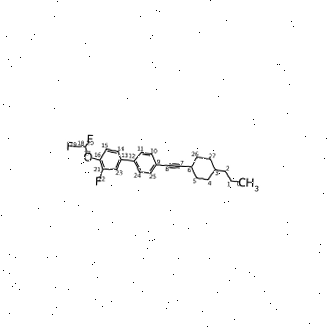 CCCC1CCC(C#Cc2ccc(-c3ccc(OC(F)F)c(F)c3)cc2)CC1